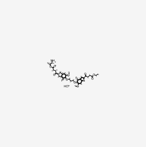 CCOC(=O)CCC(=O)c1cc2c(F)c(OCCCOc3c(OC)cc4c(c3F)CN(C(=O)CCC(=O)O[C@@H](C)CN)C4)c(OC)cc2s1.Cl